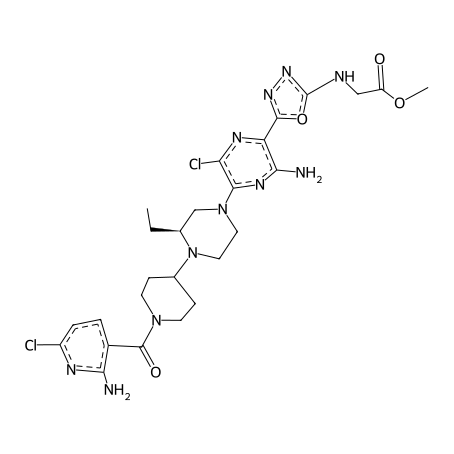 CC[C@H]1CN(c2nc(N)c(-c3nnc(NCC(=O)OC)o3)nc2Cl)CCN1C1CCN(C(=O)c2ccc(Cl)nc2N)CC1